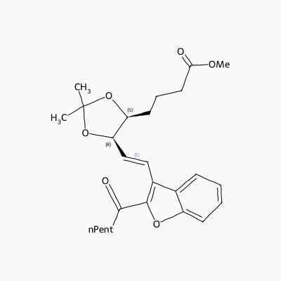 CCCCCC(=O)c1oc2ccccc2c1/C=C/[C@H]1OC(C)(C)O[C@H]1CCCC(=O)OC